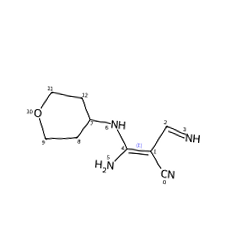 N#C/C(C=N)=C(\N)NC1CCOCC1